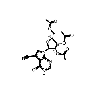 CC(=O)OC[C@H]1OC(n2cc(C#N)c3c(=O)[nH]cnc32)[C@H](OC(C)=O)[C@@H]1OC(C)=O